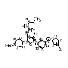 COC[C@H](C)Nc1ncc2c(-c3ccnc(O[C@H]4CCN(C)C4)c3)cc([C@H]3CC[C@H](O)CC3)n2n1